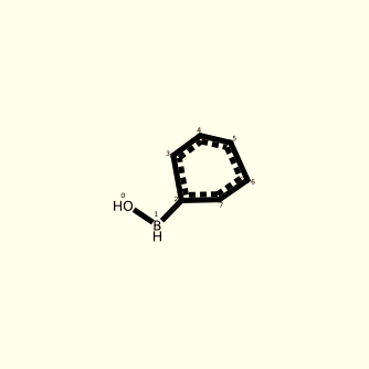 OBc1ccccc1